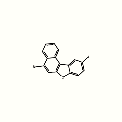 Brc1cc2oc3ccc(I)cc3c2c2ccccc12